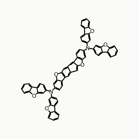 c1ccc2c(c1)oc1cc(N(c3ccc4c(c3)oc3ccccc34)c3ccc4c(c3)oc3cc5cc6c(cc5cc34)oc3cc(N(c4ccc5c(c4)oc4ccccc45)c4ccc5c(c4)oc4ccccc45)ccc36)ccc12